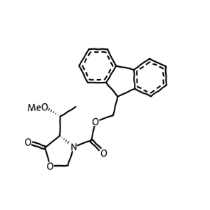 CO[C@H](C)[C@H]1C(=O)OCN1C(=O)OCC1c2ccccc2-c2ccccc21